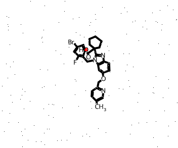 Cc1ccc(COc2ccc3nc(C4(C(=O)O)CCCCC4)n(Cc4ccc(Br)cc4F)c3c2)nc1